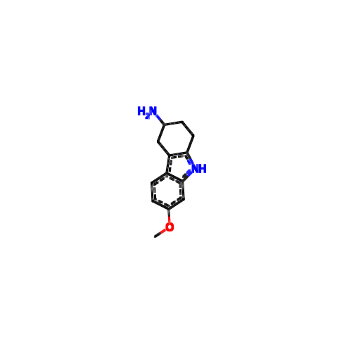 COc1ccc2c3c([nH]c2c1)CCC(N)C3